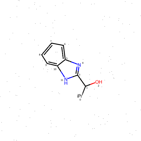 CC(C)C(O)c1nc2ccccc2[nH]1